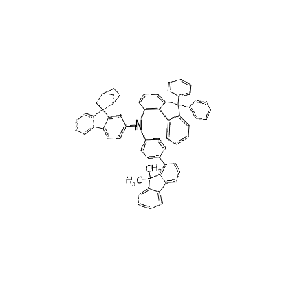 CC1(C)c2ccccc2-c2cccc(-c3ccc(N(c4ccc5c(c4)C4(CC6CCC4C6)c4ccccc4-5)c4cccc5c4-c4ccccc4C5(c4ccccc4)c4ccccc4)cc3)c21